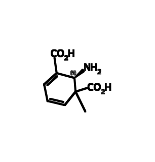 CC1(C(=O)O)C=CC=C(C(=O)O)[C@H]1N